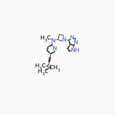 CN(c1ccc(C#C[Si](C)(C)C)cn1)C1CCN(c2ncnc3[nH]ccc23)C1